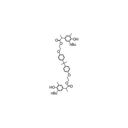 CCCCc1cc(C(C)C(=O)OCCOc2ccc(C(C)(C)c3ccc(OCCOC(=O)C(C)c4cc(C)c(O)c(CCCC)c4)cc3)cc2)cc(C)c1O